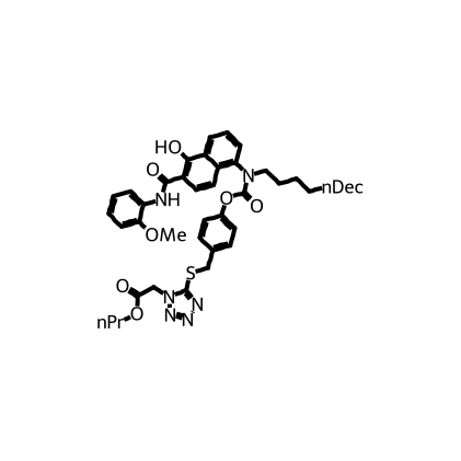 CCCCCCCCCCCCCCN(C(=O)Oc1ccc(CSc2nnnn2CC(=O)OCCC)cc1)c1cccc2c(O)c(C(=O)Nc3ccccc3OC)ccc12